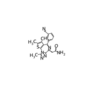 Cc1sc2c(c1C)C(c1cccc(C#N)c1)=N[C@@H](CC(N)=O)c1nnc(C)n1-2